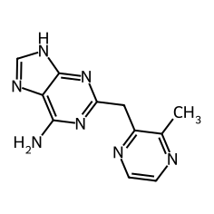 Cc1nccnc1Cc1nc(N)c2nc[nH]c2n1